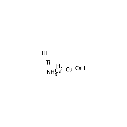 I.N.[CaH2].[CsH].[Cu].[Ti]